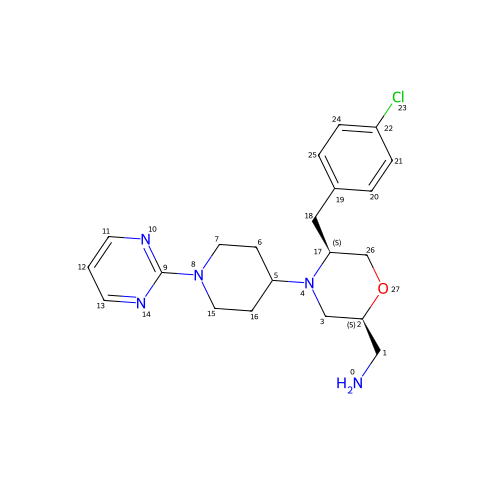 NC[C@H]1CN(C2CCN(c3ncccn3)CC2)[C@@H](Cc2ccc(Cl)cc2)CO1